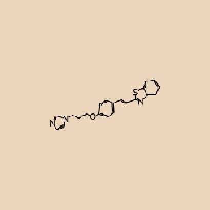 C(=C\c1nc2ccccc2s1)/c1ccc(OCCCn2ccnc2)cc1